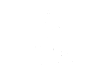 CC1(C)CCCN1N(CCC(N)C(=O)O)C(=O)O